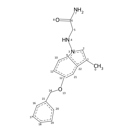 Cc1cn(NCC(N)=O)c2ccc(OCc3ccccc3)cc12